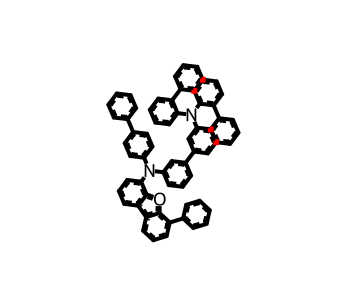 c1ccc(-c2ccc(N(c3cccc(-c4cccc(N(c5ccccc5-c5ccccc5)c5ccccc5-c5ccccc5)c4)c3)c3cccc4c3oc3c(-c5ccccc5)cccc34)cc2)cc1